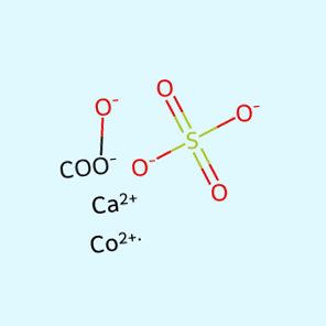 O=C([O-])[O-].O=S(=O)([O-])[O-].[Ca+2].[Co+2]